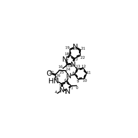 Cc1nn(C)c2c1N(c1ccccc1-n1c(C)nc3cnccc31)CCC(=O)N2